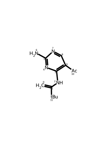 C=C(Nc1nc(N)ncc1C(C)=O)C(C)(C)C